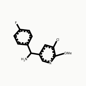 COc1ncc(C(N)c2ccc(F)cc2)cc1Cl